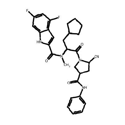 CN(C(=O)c1cc2c(F)cc(F)cc2[nH]1)C(CC1CCCC1)C(=O)N1CC(C(=O)Nc2ccccc2)CC1C#N